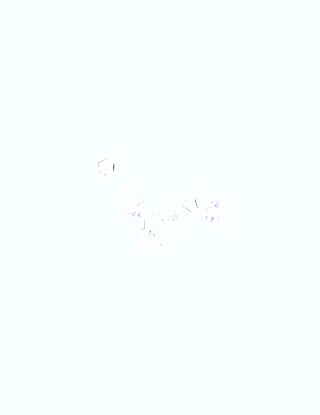 Cc1sc(CNC(=O)[C@@H]2C[C@]3(C)C[C@@H]3N2C(=O)CNC(=O)CCCOc2ccccc2)cc1C(=N)N